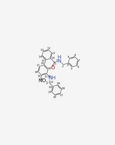 O=C(NCc1ccccc1)c1ccccc1-c1ccc([N+](=O)[O-])c(NCc2ccccc2)c1